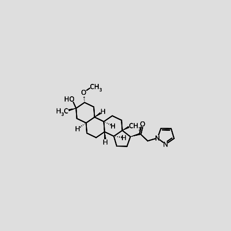 CO[C@@H]1C[C@H]2[C@@H](CC[C@@H]3[C@@H]2CC[C@]2(C)[C@@H](C(=O)Cn4cccn4)CC[C@@H]32)C[C@]1(C)O